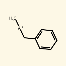 [CH3][Al+][CH2]c1ccccc1.[H-]